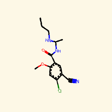 CCCNC(C)NC(=O)c1cc(C#N)c(Cl)cc1OC